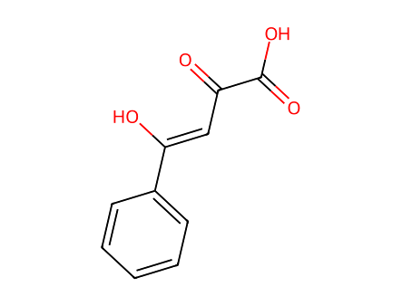 O=C(O)C(=O)C=C(O)c1ccccc1